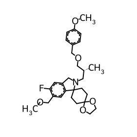 COCc1cc2c(cc1F)CN(C[C@@H](C)COCc1ccc(OC)cc1)C21CCC2(CC1)OCCO2